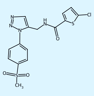 CS(=O)(=O)c1ccc(-n2nncc2CNC(=O)c2ccc(Cl)s2)cc1